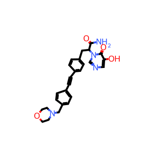 NC(=O)C(Cc1ccc(C#Cc2ccc(CN3CCOCC3)cc2)cc1)n1cncc(O)c1=O